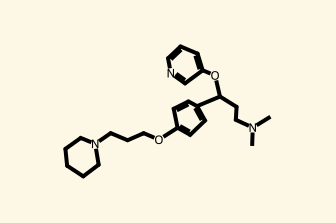 CN(C)CCC(Oc1cccnc1)c1ccc(OCCCN2CCCCC2)cc1